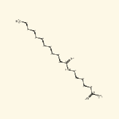 CCCCCCCCCCCC(=O)NCCCCCC(N)=O